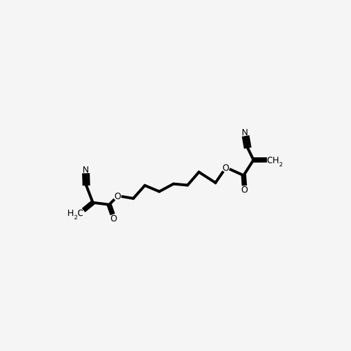 C=C(C#N)C(=O)OCCCCCCCOC(=O)C(=C)C#N